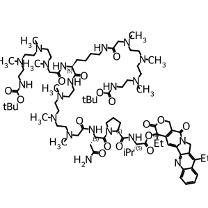 CCc1c2c(nc3ccccc13)-c1cc3c(c(=O)n1C2)COC(=O)[C@@]3(CC)OC(=O)[C@@H](NC(=O)[C@@H]1CCCN1C(=O)[C@H](CC(N)=O)NC(=O)CN(C)CCN(C)CCN(C)CCNC(=O)[C@H](CCCCNC(=O)CN(C)CCN(C)CCN(C)CCNC(=O)OC(C)(C)C)NC(=O)CN(C)CCN(C)CCN(C)CCNC(=O)OC(C)(C)C)C(C)C